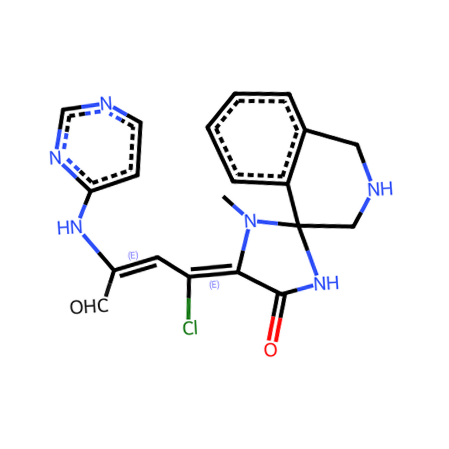 CN1/C(=C(Cl)\C=C(/C=O)Nc2ccncn2)C(=O)NC12CNCc1ccccc12